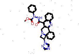 COC(=O)N(NC(=O)c1c(CN2CC(n3cncn3)C2)c(-c2ccccc2)nc2ccccc12)c1ccccc1